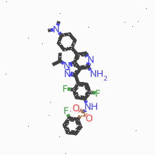 CC(C)n1nc(-c2cc(F)c(NS(=O)(=O)c3ccccc3F)cc2F)c2c(N)ncc(C3CCC(N(C)C)CC3)c21